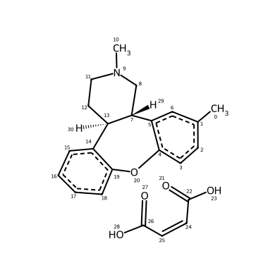 Cc1ccc2c(c1)[C@H]1CN(C)CC[C@@H]1c1ccccc1O2.O=C(O)/C=C\C(=O)O